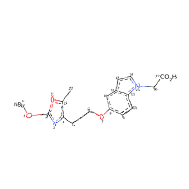 CCCCOc1nc(CCOc2ccc3c(ccn3CC(=O)O)c2)c(C)o1